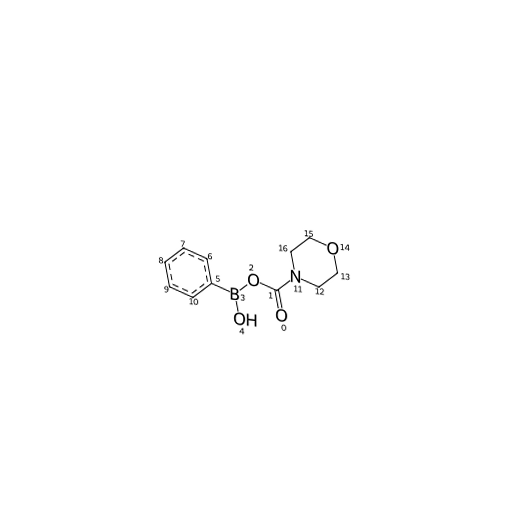 O=C(OB(O)c1ccccc1)N1CCOCC1